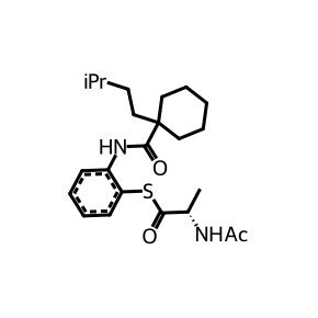 CC(=O)N[C@@H](C)C(=O)Sc1ccccc1NC(=O)C1(CCC(C)C)CCCCC1